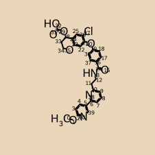 COc1ccc(-c2cccc(CCNC(=O)c3ccc(Oc4cc5c(cc4Cl)C(OC(=O)O)CCO5)cc3)n2)cn1